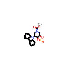 CC(C)(C)OC(=O)N1CC2OS(=O)OC2[C@@H](n2c3ccccc3c3ccccc32)C1